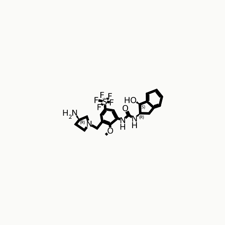 COc1c(CN2CC[C@@H](N)C2)cc(S(F)(F)(F)(F)F)cc1NC(=O)N[C@@H]1Cc2ccccc2[C@@H]1O